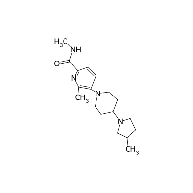 CNC(=O)c1ccc(N2CCC(N3CCC(C)C3)CC2)c(C)n1